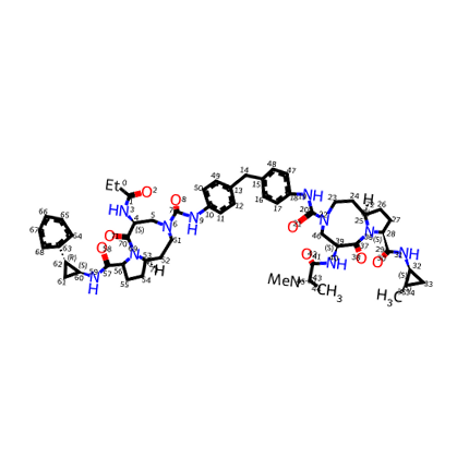 CCC(=O)N[C@H]1CN(C(=O)Nc2ccc(Cc3ccc(NC(=O)N4CC[C@H]5CC[C@@H](C(=O)N[C@H]6C[C@@H]6C)N5C(=O)[C@@H](NC(=O)[C@H](C)NC)C4)cc3)cc2)CC[C@H]2CCC(C(=O)N[C@H]3C[C@@H]3c3ccccc3)N2C1=O